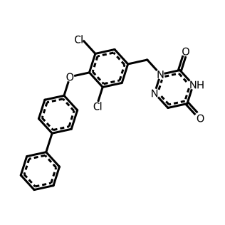 O=c1cnn(Cc2cc(Cl)c(Oc3ccc(-c4ccccc4)cc3)c(Cl)c2)c(=O)[nH]1